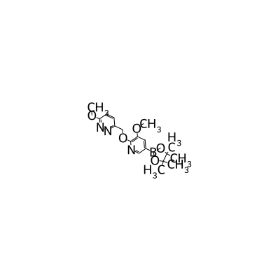 COc1ccc(COc2ncc(B3OC(C)(C)C(C)(C)O3)cc2OC)nn1